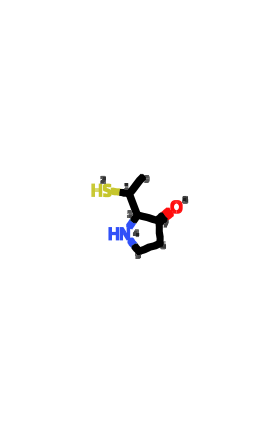 CC(S)C1NCCC1=O